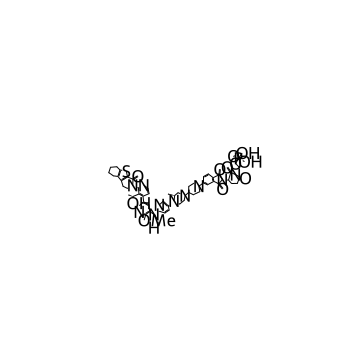 COc1ncc(-c2ccnc(N3CCc4c(sc5c4CCCC5)C3=O)c2[C@H](C)O)cc1Nc1ccc(N2CCN(C3CCN(c4ccc5c(c4)C(=O)N(C4CCC(=O)N(COP(=O)(O)O)C4=O)C5=O)CC3)C[C@@H]2C)cn1